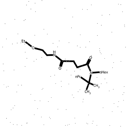 CCCCCCN(C(=O)CCC(=O)NCCOCC)C(C)(C)CCC